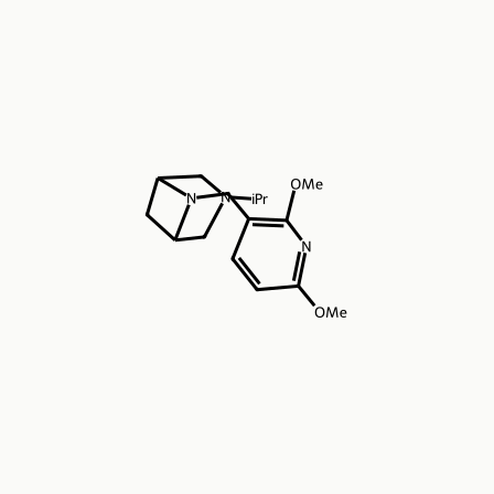 COc1ccc(CN2C3CC2CN(C(C)C)C3)c(OC)n1